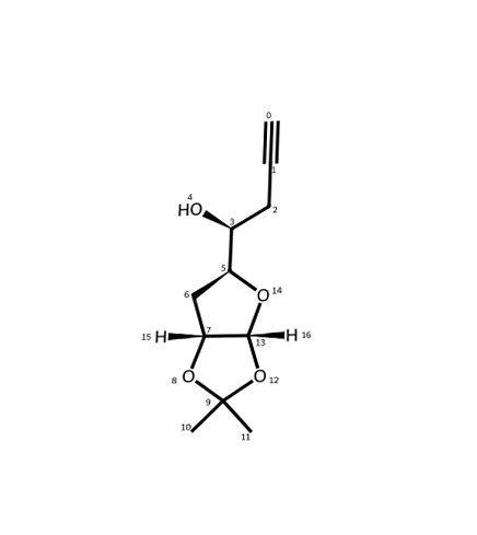 C#CC[C@H](O)[C@@H]1C[C@H]2OC(C)(C)O[C@H]2O1